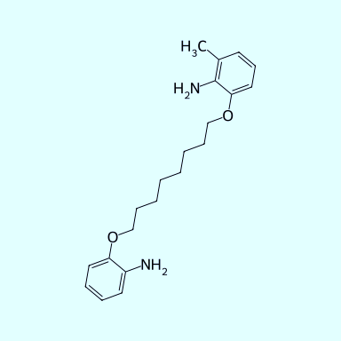 Cc1cccc(OCCCCCCCCOc2ccccc2N)c1N